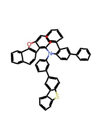 c1ccc(-c2ccc(N(c3cccc(-c4ccc5sc6ccccc6c5c4)c3)c3cccc4oc5c6ccccc6ccc5c34)c(-c3ccccc3)c2)cc1